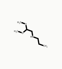 [CH2]CCNCC(OC)OC